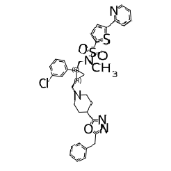 CN(C[C@@]1(c2cccc(Cl)c2)C[C@H]1CN1CCC(c2nnc(Cc3ccccc3)o2)CC1)S(=O)(=O)c1ccc(-c2ccccn2)s1